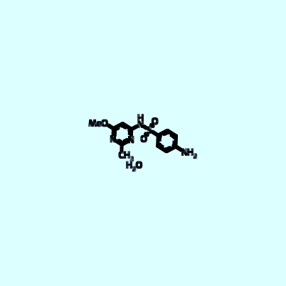 COc1cc(NS(=O)(=O)c2ccc(N)cc2)nc(C)n1.O